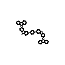 c1ccc2c(c1)c1ccccc1n2-c1ccc2sc3ccc(-c4ccc(-c5ccc6sc7ccc(-n8c9ccccc9c9ccccc98)cc7c6c5)cc4)cc3c2c1